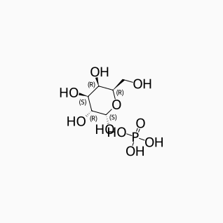 O=P(O)(O)O.OC[C@H]1O[C@H](O)[C@H](O)[C@@H](O)[C@H]1O